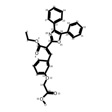 CCOC(=O)/C(=C\c1cccc(OCC(=O)OC)c1)c1nc(-c2ccccc2)c(-c2ccccc2)o1